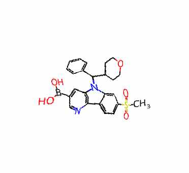 CS(=O)(=O)c1ccc2c3ncc(B(O)O)cc3n(C(c3ccccc3)C3CCOCC3)c2c1